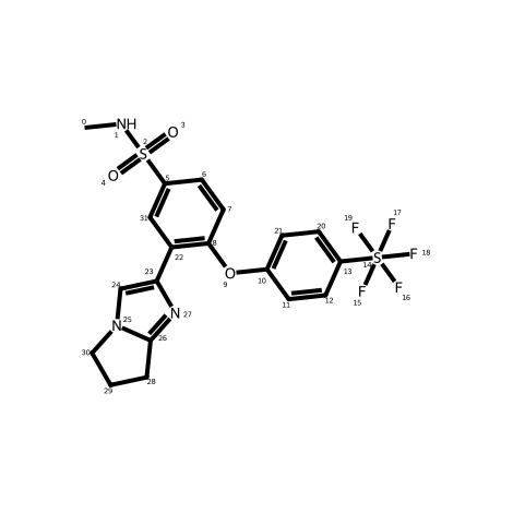 CNS(=O)(=O)c1ccc(Oc2ccc(S(F)(F)(F)(F)F)cc2)c(-c2cn3c(n2)CCC3)c1